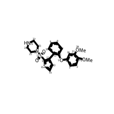 COc1ccc(Oc2ccccc2-c2ccsc2S(=O)(=O)N2CCNCC2)cc1OC